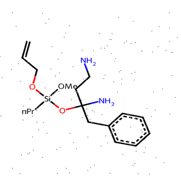 C=CCO[Si](CCC)(OC)OC(N)(CCN)Cc1ccccc1